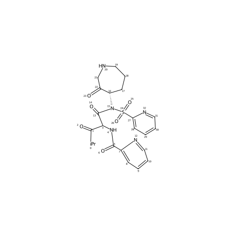 CC(C)C(=O)C(NC(=O)c1ccccn1)C(=O)N([C@H]1CCCNCC1=O)S(=O)(=O)c1ccccn1